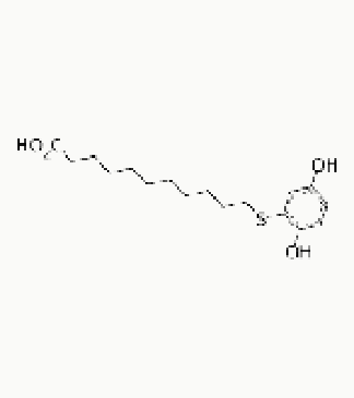 O=C(O)CCCCCCCCCCSc1cc(O)ccc1O